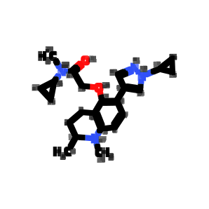 CC1CCc2c(ccc(-c3cnn(C4CC4)c3)c2OCC(=O)N(C)C2CC2)N1C